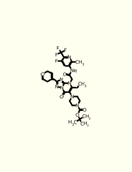 CCc1c(N2CCN(C(=O)OC(C)(C)C)CC2)c(=O)n2nc(C3=CCOCC3)nc2n1CC(=O)Nc1cc(F)c(C(F)(F)F)nc1C